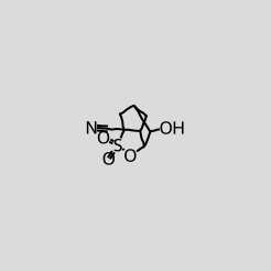 N#CC12CC3CC1C(OS2(=O)=O)C3O